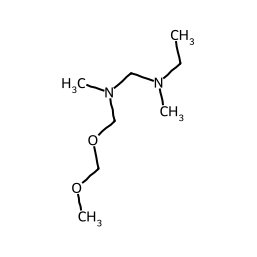 CCN(C)CN(C)COCOC